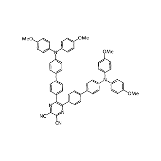 COc1ccc(N(c2ccc(OC)cc2)c2ccc(-c3ccc(-c4nc(C#N)c(C#N)nc4-c4ccc(-c5ccc(N(c6ccc(OC)cc6)c6ccc(OC)cc6)cc5)cc4)cc3)cc2)cc1